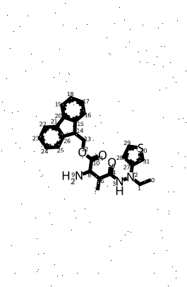 CCN(NC(=O)C(C)C(N)C(=O)OCC1c2ccccc2-c2ccccc21)c1ccsc1